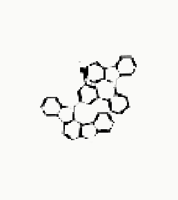 N#Cc1cc(-c2ccccc2-n2c3ccccc3c3ccccc32)cc(-n2c3ccccc3c3ccc4oc5ccccc5c4c32)c1